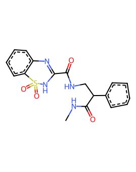 CNC(=O)C(CNC(=O)C1=Nc2ccccc2S(=O)(=O)N1)c1ccccc1